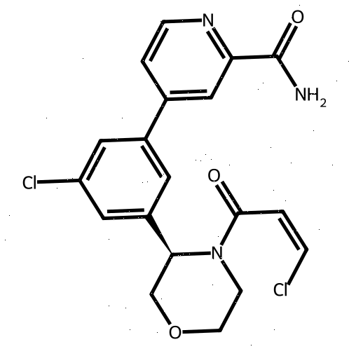 NC(=O)c1cc(-c2cc(Cl)cc([C@@H]3COCCN3C(=O)/C=C\Cl)c2)ccn1